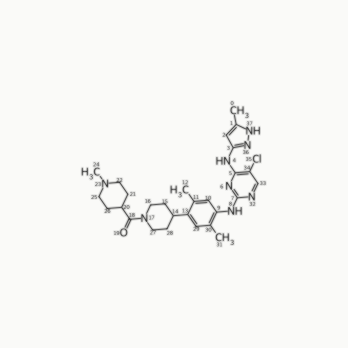 Cc1cc(Nc2nc(Nc3cc(C)c(C4CCN(C(=O)C5CCN(C)CC5)CC4)cc3C)ncc2Cl)n[nH]1